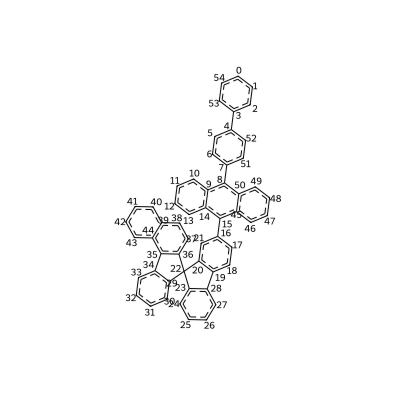 c1ccc(-c2ccc(-c3c4ccccc4c(-c4ccc5c(c4)C4(c6ccccc6-5)c5ccccc5-c5c4ccc4ccccc54)c4ccccc34)cc2)cc1